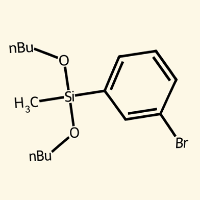 CCCCO[Si](C)(OCCCC)c1cccc(Br)c1